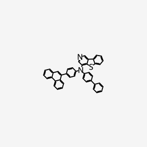 c1ccc(-c2ccc(N(c3ccc(-c4cc5ccccc5c5ccccc45)cc3)c3cncc4c3sc3ccccc34)cc2)cc1